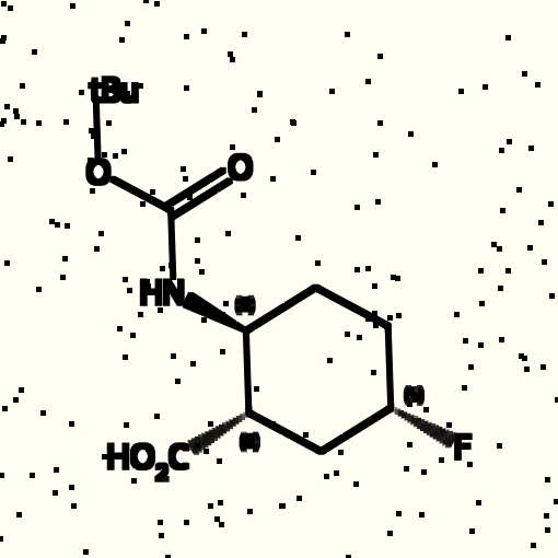 CC(C)(C)OC(=O)N[C@H]1CC[C@H](F)C[C@@H]1C(=O)O